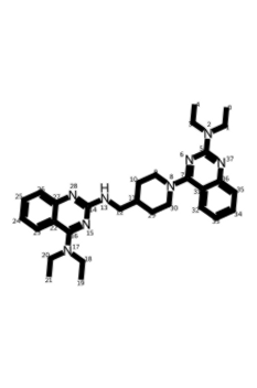 CCN(CC)c1nc(N2CCC(CNc3nc(N(CC)CC)c4ccccc4n3)CC2)c2ccccc2n1